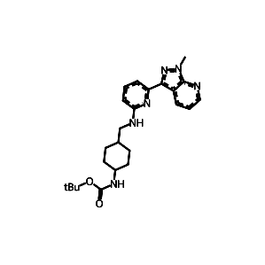 Cn1nc(-c2cccc(NCC3CCC(NC(=O)OC(C)(C)C)CC3)n2)c2cccnc21